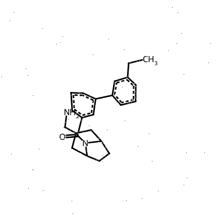 CCc1cccc(-c2cccc(C(=O)N3C4CCC3CC(CN)C4)c2)c1